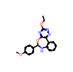 CCOc1nnc2c(n1)OC(c1ccc(OC)cc1)Nc1ccccc1-2